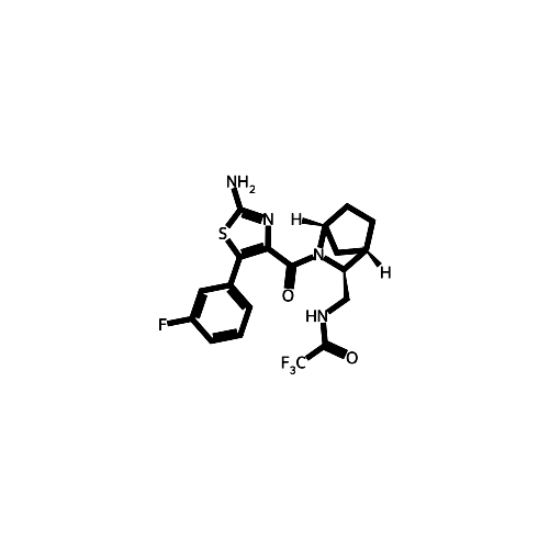 Nc1nc(C(=O)N2[C@@H]3CC[C@@H](C3)[C@H]2CNC(=O)C(F)(F)F)c(-c2cccc(F)c2)s1